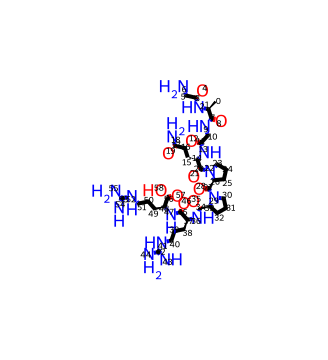 C[C@H](NC(=O)CN)C(=O)NCC(=O)N[C@@H](CCC(N)=O)C(=O)N1CCC[C@H]1C(=O)N1CCC[C@H]1C(=O)N[C@@H](CCCNC(=N)N)C(=O)N[C@@H](CCCNC(=N)N)C(=O)O